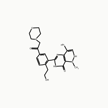 CCCC1=CNN(C)c2c1nc(-c1cc(C(=O)CN3CCOCC3)ccc1CCO)[nH]c2=O